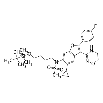 CC(C)(C)[Si](C)(C)OCCCCN(c1cc2oc(-c3ccc(F)cc3)c(C3=NOCCN3)c2cc1C1CC1)S(C)(=O)=O